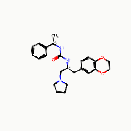 C[C@@H](NC(=O)N[C@@H](Cc1ccc2c(c1)OCCO2)CN1CCCC1)c1ccccc1